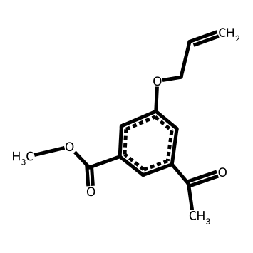 C=CCOc1cc(C(C)=O)cc(C(=O)OC)c1